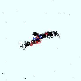 Cc1ccc(Oc2ccc(C[C@H](NC(=O)[C@@H]3Cc4ccc(Oc5ccc(C(C)(C)C)cc5)cc4CN3C(=O)CC3CCCC3)C(=O)O)cc2)cc1C